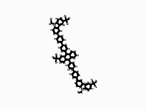 CCn1c2ccc(-c3ccc(-c4ccc(-c5c6ccccc6c(-c6ccc(-c7ccc(-c8ccc9c(c8)c8cc(C(C)(C)C)ccc8n9CC)cc7)cc6)c6cc(C(C)(C)C)ccc56)cc4)cc3)cc2c2cc(C(C)(C)C)ccc21